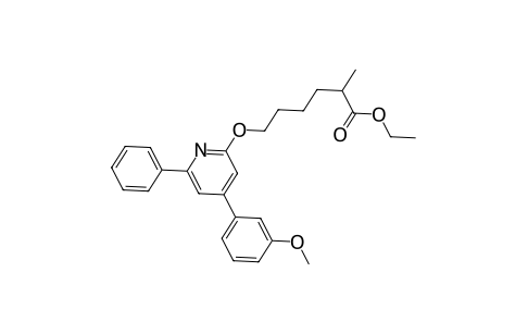 CCOC(=O)C(C)CCCCOc1cc(-c2cccc(OC)c2)cc(-c2ccccc2)n1